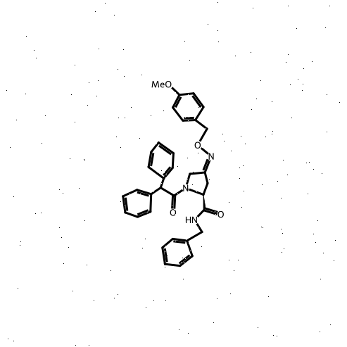 COc1ccc(CON=C2C[C@@H](C(=O)NCc3ccccc3)N(C(=O)C(c3ccccc3)c3ccccc3)C2)cc1